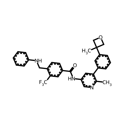 Cc1ncc(NC(=O)c2ccc(CNc3ccccc3)c(C(F)(F)F)c2)cc1-c1cccc(C2(C)COC2)c1